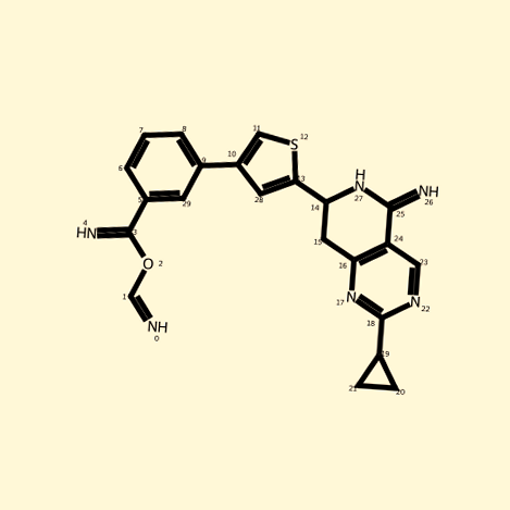 N=COC(=N)c1cccc(-c2csc(C3Cc4nc(C5CC5)ncc4C(=N)N3)c2)c1